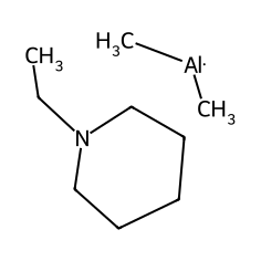 CCN1CCCCC1.[CH3][Al][CH3]